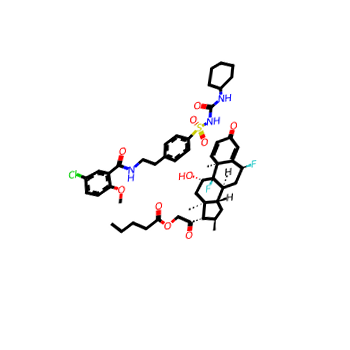 CCCCC(=O)OCC(=O)[C@H]1[C@H](C)C[C@H]2[C@@H]3C[C@H](F)C4=CC(=O)C=C[C@]4(C)[C@@]3(F)[C@@H](O)C[C@@]21C.COc1ccc(Cl)cc1C(=O)NCCc1ccc(S(=O)(=O)NC(=O)NC2CCCCC2)cc1